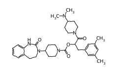 Cc1cc(C)cc(CC(OC(=O)N2CCC(N3CCc4ccccc4NC3=O)CC2)C(=O)N2CCC(N(C)C)CC2)c1